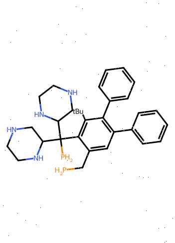 CC(C)(C)c1c(-c2ccccc2)c(-c2ccccc2)cc(CP)c1C(P)(C1CNCCN1)C1CNCCN1